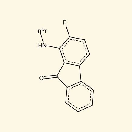 CCCNc1c(F)ccc2c1C(=O)c1ccccc1-2